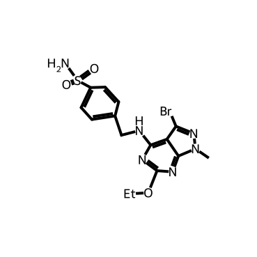 CCOc1nc(NCc2ccc(S(N)(=O)=O)cc2)c2c(Br)nn(C)c2n1